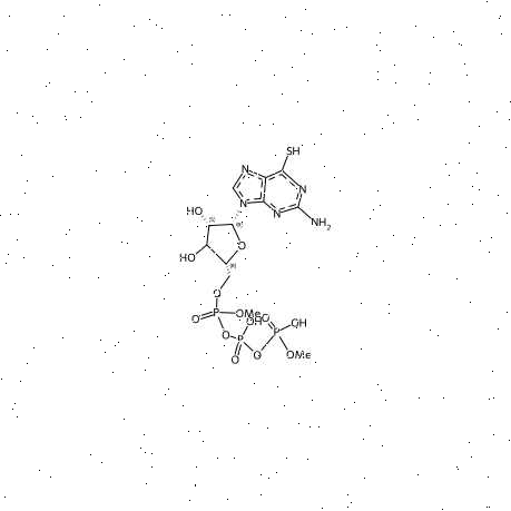 COP(=O)(O)OP(=O)(O)OP(=O)(OC)OC[C@H]1O[C@@H](n2cnc3c(S)nc(N)nc32)[C@@H](O)C1O